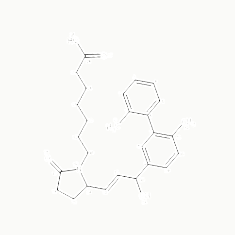 Cc1ccccc1-c1cc(C(O)C=CC2CCC(=O)N2CCCCCCC(=O)O)ccc1C